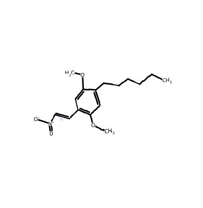 CCCCCCc1cc(OC)c(/C=C/[N+](=O)[O-])cc1OC